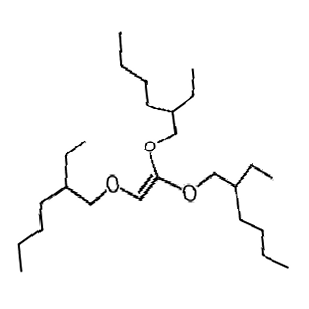 CCCCC(CC)COC=C(OCC(CC)CCCC)OCC(CC)CCCC